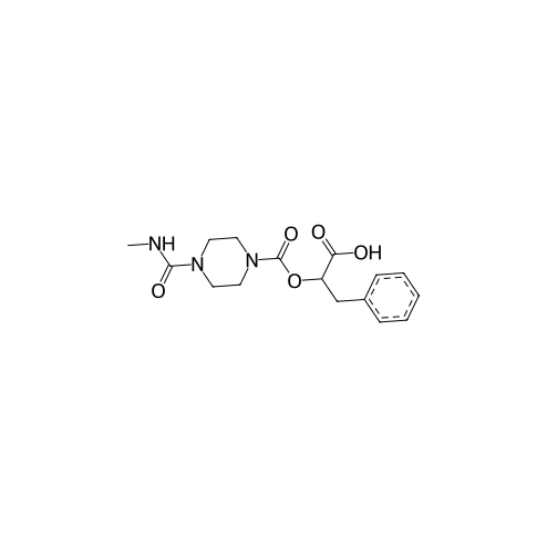 CNC(=O)N1CCN(C(=O)OC(Cc2ccccc2)C(=O)O)CC1